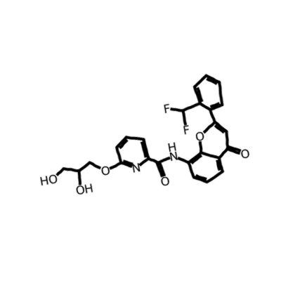 O=C(Nc1cccc2c(=O)cc(-c3ccccc3C(F)F)oc12)c1cccc(OCC(O)CO)n1